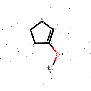 C[CH]OC1=CCCC1